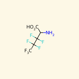 NC(C(=O)O)C(F)(F)C(F)(F)C(F)(F)F